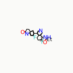 CCC(=O)N[C@H]1c2cncc(-c3cc4c(cc3F)N(C)C(=O)CC4)c2CC[C@H]1F